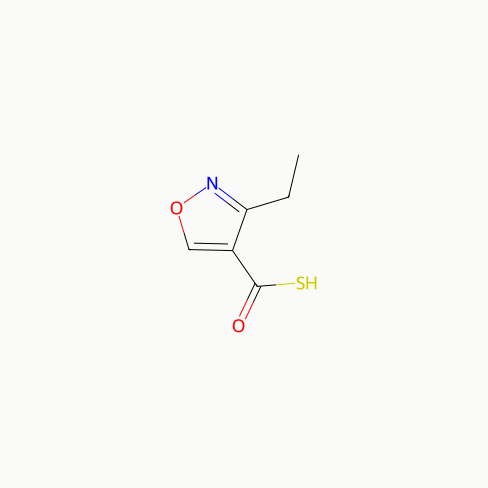 CCc1nocc1C(=O)S